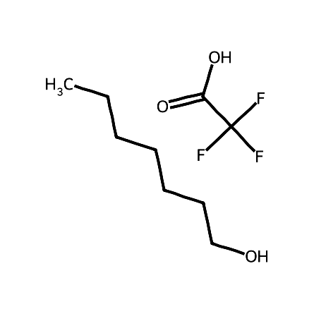 CCCCCCCO.O=C(O)C(F)(F)F